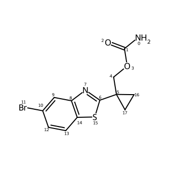 NC(=O)OCC1(c2nc3cc(Br)ccc3s2)CC1